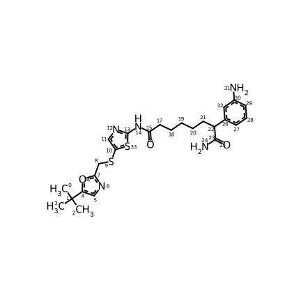 CC(C)(C)c1cnc(CSc2cnc(NC(=O)CCCCCC(C(N)=O)c3cccc(N)c3)s2)o1